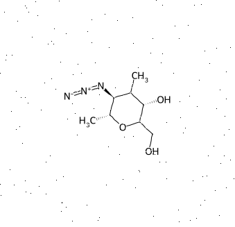 CC1[C@H](O)C(CO)O[C@H](C)[C@H]1N=[N+]=[N-]